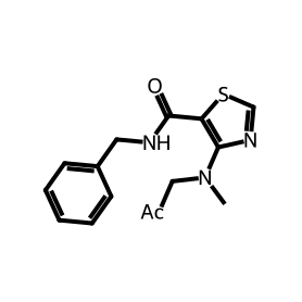 CC(=O)CN(C)c1ncsc1C(=O)NCc1ccccc1